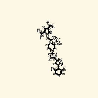 C[S+]([O-])C1CN(c2nc(C3=NOC(c4c(F)cccc4F)C3)cs2)CCN1C(=O)Cn1nc(C(F)F)cc1C(F)F